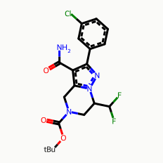 CC(C)(C)OC(=O)N1Cc2c(C(N)=O)c(-c3cccc(Cl)c3)nn2C(C(F)F)C1